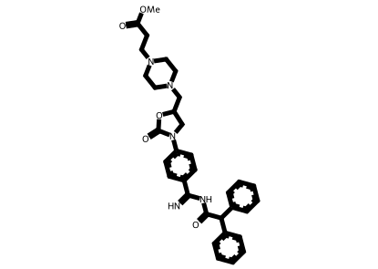 COC(=O)CCN1CCN(CC2CN(c3ccc(C(=N)NC(=O)C(c4ccccc4)c4ccccc4)cc3)C(=O)O2)CC1